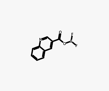 O=C(OB(F)F)c1cnc2ccccc2c1